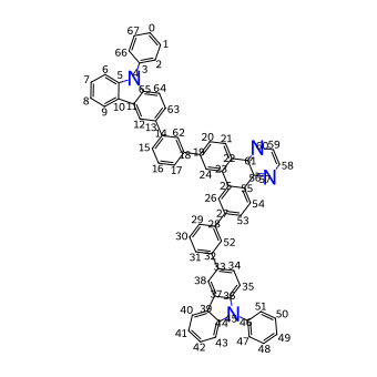 c1ccc(-n2c3ccccc3c3cc(-c4cccc(-c5ccc6c(c5)c5cc(-c7cccc(-c8ccc9c(c8)c8ccccc8n9-c8ccccc8)c7)ccc5c5nccnc65)c4)ccc32)cc1